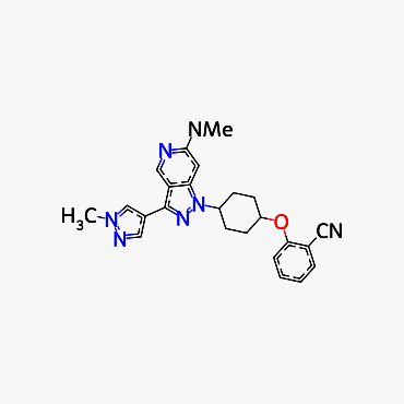 CNc1cc2c(cn1)c(-c1cnn(C)c1)nn2C1CCC(Oc2ccccc2C#N)CC1